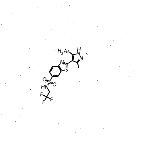 Cc1n[nH]c([AsH2])c1-c1nc2ccc(S(=O)(=O)NCC(F)(F)F)cc2s1